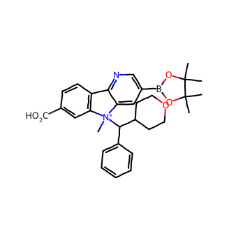 CC1(C)OB(c2cnc3c(c2)[N+](C)(C(c2ccccc2)C2CCOCC2)c2cc(C(=O)O)ccc2-3)OC1(C)C